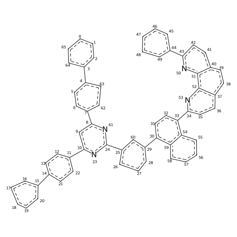 c1ccc(-c2ccc(-c3cc(-c4ccc(-c5ccccc5)cc4)nc(-c4cccc(-c5ccc(-c6ccc7ccc8ccc(-c9ccccc9)nc8c7n6)c6ccccc56)c4)n3)cc2)cc1